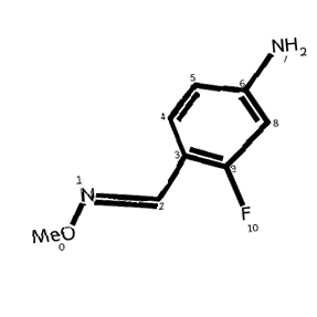 CON=Cc1ccc(N)cc1F